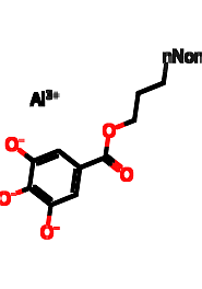 CCCCCCCCCCCCOC(=O)c1cc([O-])c([O-])c([O-])c1.[Al+3]